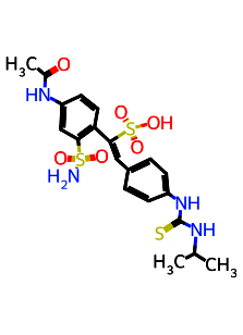 CC(=O)Nc1ccc(C(=Cc2ccc(NC(=S)NC(C)C)cc2)S(=O)(=O)O)c(S(N)(=O)=O)c1